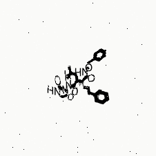 CC(C)CC(C(=O)NN1C(=O)CNC1=O)[C@@H](CCCc1ccccc1)C(=O)NOCc1ccccc1